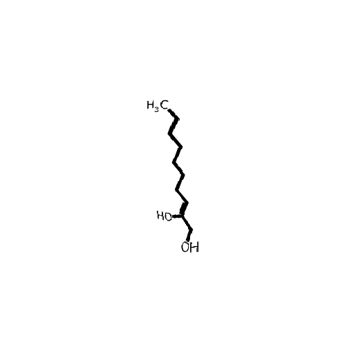 CCCCCCCC=C(O)CO